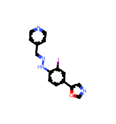 Ic1cc(-c2cnco2)ccc1NN=Cc1ccncc1